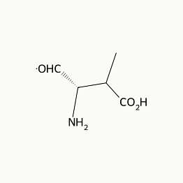 CC(C(=O)O)[C@H](N)[C]=O